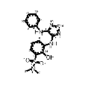 CN(C)S(=O)(=O)c1cccc(Nc2nsnc2Nc2ccccc2)c1O